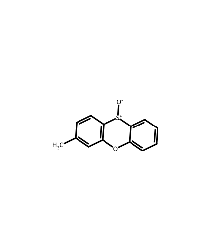 Cc1ccc2c(c1)Oc1ccccc1[S+]2[O-]